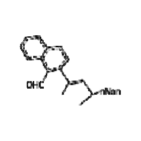 CCCCCCCCCC(C)C=C(C)c1ccc2ccccc2c1C=O